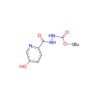 CC(C)(C)OC(=O)NNC(=O)c1ccc(O)cn1